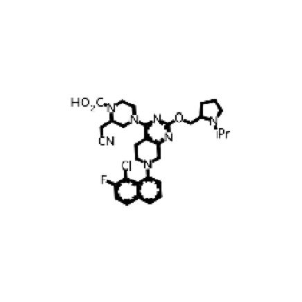 CC(C)N1CCCC1COc1nc2c(c(N3CCN(C(=O)O)C(CC#N)C3)n1)CCN(c1cccc3ccc(F)c(Cl)c13)C2